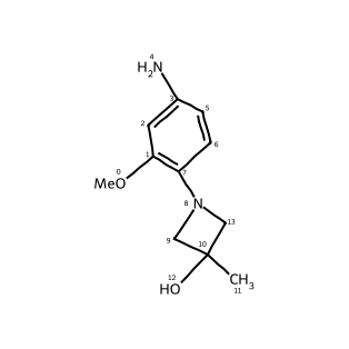 COc1cc(N)ccc1N1CC(C)(O)C1